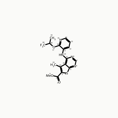 COC(=O)c1sc2ncnc(Nc3cccnc3OC(C)C(F)(F)F)c2c1C